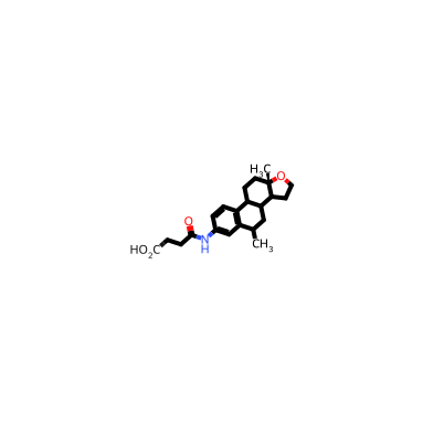 CC1CC2C(CC[C@]3(C)OCCC23)c2ccc(NC(=O)CCC(=O)O)cc21